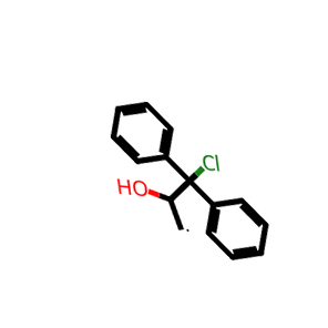 [CH2]C(O)C(Cl)(c1ccccc1)c1ccccc1